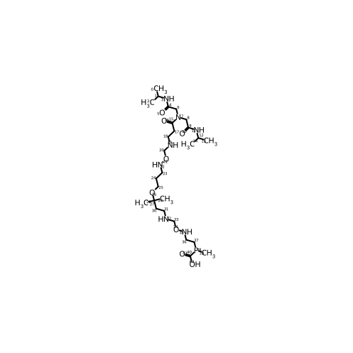 CC(C)NC(=O)CN(CC(=O)NC(C)C)C(=O)CCNCONCCCOC(C)(C)CCNCONCCP(C)C(=O)O